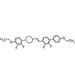 CCOc1ccc(-c2ccc(/C=C/C3CCC(c4ccc(OCC)c(F)c4F)CC3)c(F)c2F)cc1